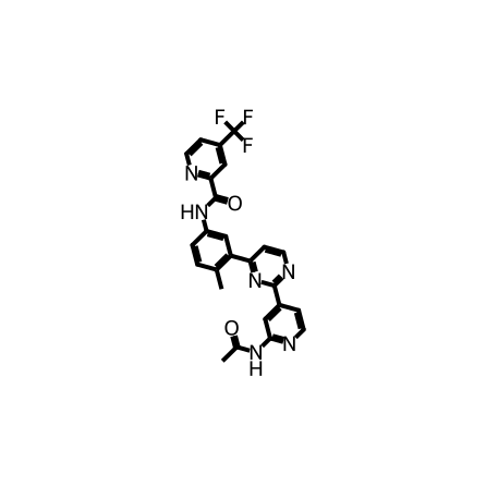 CC(=O)Nc1cc(-c2nccc(-c3cc(NC(=O)c4cc(C(F)(F)F)ccn4)ccc3C)n2)ccn1